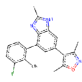 Cc1nc2c(-c3cccc(F)c3C#N)cc(-c3c(C)noc3C)cc2[nH]1